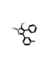 CCn1nc(-c2cccc(C)c2)c(-c2ccccc2)c1O